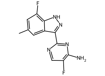 Cc1cc(F)c2[nH]nc(-c3ncc(F)c(N)n3)c2c1